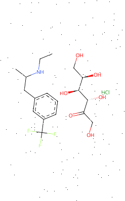 CCNC(C)Cc1cccc(C(F)(F)F)c1.Cl.O=C(CO)[C@@H](O)[C@@H](O)[C@H](O)CO